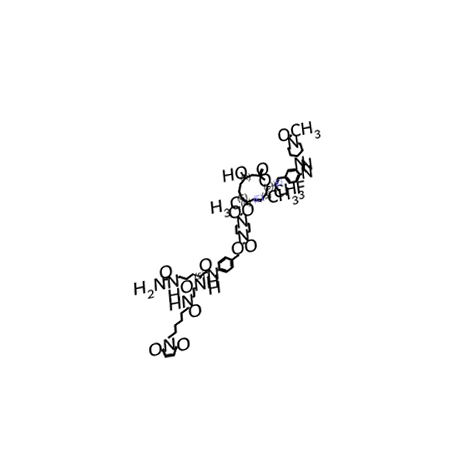 CC(=O)N1CCC(n2nnc3c(F)cc(/C=C(\C)[C@H]4OC(=O)C[C@H](O)CC[C@H](C)[C@@H](OC(=O)N5CCN(C(=O)OCc6ccc(NC(=O)[C@H](CCCNC(N)=O)NC(=O)CNC(=O)CCCCCN7C(=O)C=CC7=O)cc6)CC5)/C=C/[C@@H]4C)cc32)CC1